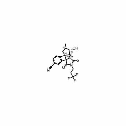 C[C@@H]1C[C@@]2(c3ccc(C#N)cc3C23NC(=S)N(CCC(F)(F)F)C3=O)[C@H](C)[C@H]1O